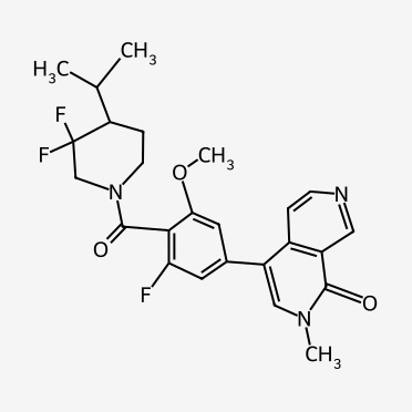 COc1cc(-c2cn(C)c(=O)c3cnccc23)cc(F)c1C(=O)N1CCC(C(C)C)C(F)(F)C1